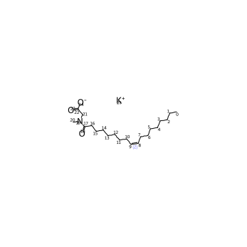 CCCCCCCC/C=C\CCCCCCCC(=O)N(C)CC(=O)[O-].[K+]